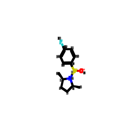 C[C@@H]1CC[C@H](C)N1[S+]([O-])c1ccc(F)cc1